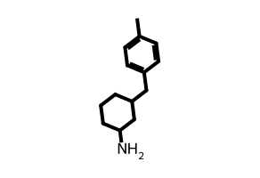 Cc1ccc(CC2CCCC(N)C2)cc1